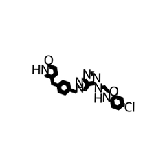 O=c1ccc(Cc2ccc(Cn3cc4c(NCc5nc6ccc(Cl)cc6o5)ncnc4n3)cc2)c[nH]1